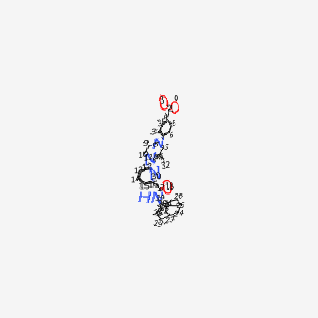 COC(=O)c1ccc(N2CCN(c3cccc(C(=O)NC4C5CC6CC(C5)CC4C6)n3)[C@H](C)C2)cc1